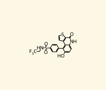 O=c1[nH]c2ccc(O)c(-c3ccc(S(=O)(=O)NCC(F)(F)F)cc3)c2c2ccsc12